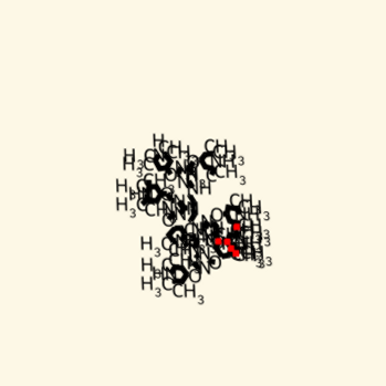 CC1(C)CC(Oc2nc(NCCN(CCN(CCNc3nc(OC4CC(C)(C)NC(C)(C)C4)nc(OC4CC(C)(C)NC(C)(C)C4)n3)c3nc(OC4CC(C)(C)NC(C)(C)C4)nc(OC4CC(C)(C)NC(C)(C)C4)n3)c3nc(OC4CC(C)(C)NC(C)(C)C4)nc(OC4CC(C)(C)NC(C)(C)C4)n3)nc(OC3CC(C)(C)NC(C)(C)C3)n2)CC(C)(C)N1